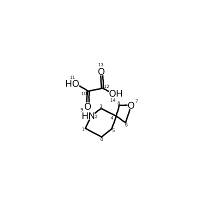 C1CNCC2(C1)COC2.O=C(O)C(=O)O